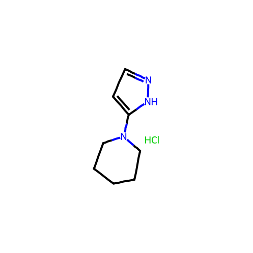 Cl.c1cc(N2CCCCC2)[nH]n1